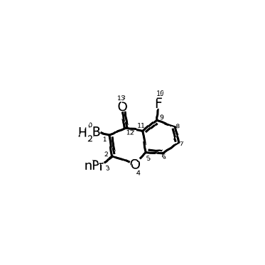 Bc1c(CCC)oc2cccc(F)c2c1=O